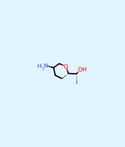 C[C@@H](O)[C@@H]1CCC(N)CO1